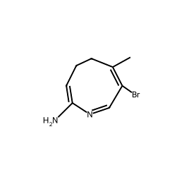 C/C1=C(Br)/C=N\C(N)=C/CC1